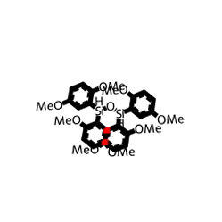 COc1ccc(OC)c([SiH](O[SiH](c2cc(OC)ccc2OC)c2cc(OC)ccc2OC)c2cc(OC)ccc2OC)c1